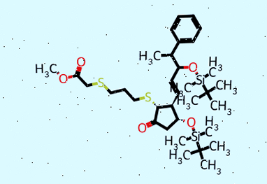 COC(=O)CSCCCS[C@H]1C(=O)C[C@@H](O[Si](C)(C)C(C)(C)C)[C@@H]1/C=C/C(O[Si](C)(C)C(C)(C)C)C(C)c1ccccc1